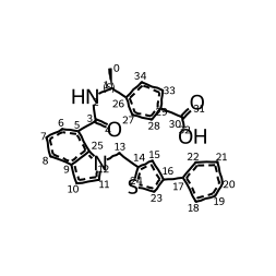 C[C@H](NC(=O)c1cccc2ccn(Cc3cc(-c4ccccc4)cs3)c12)c1ccc(C(=O)O)cc1